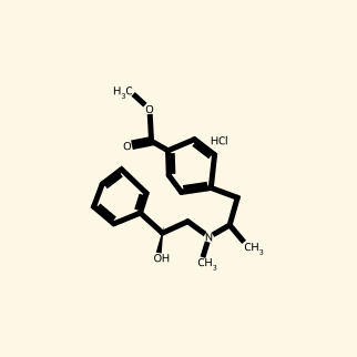 COC(=O)c1ccc(CC(C)N(C)C[C@@H](O)c2ccccc2)cc1.Cl